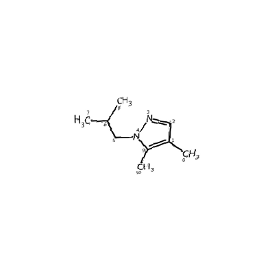 Cc1[c]nn(CC(C)C)c1C